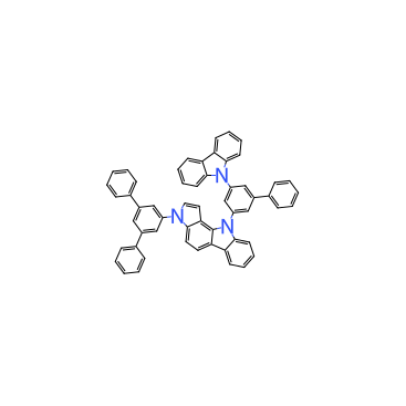 c1ccc(-c2cc(-c3ccccc3)cc(-n3ccc4c3ccc3c5ccccc5n(-c5cc(-c6ccccc6)cc(-n6c7ccccc7c7ccccc76)c5)c34)c2)cc1